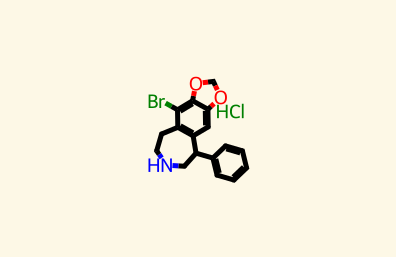 Brc1c2c(cc3c1OCO3)C(c1ccccc1)CNCC2.Cl